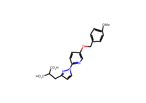 COc1ccc(COc2ccc(-n3ccc(CC(C(=O)O)C(=O)O)n3)nc2)cc1